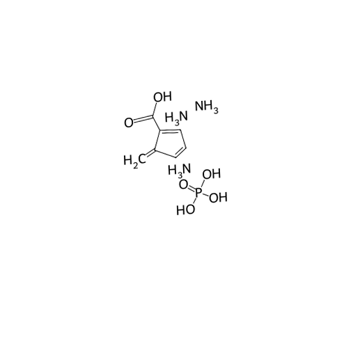 C=C1C=CC=C1C(=O)O.N.N.N.O=P(O)(O)O